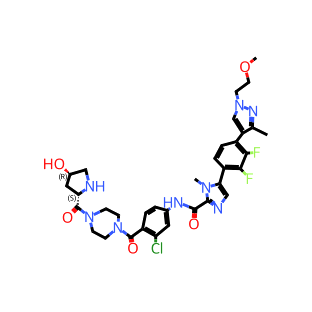 COCCn1cc(-c2ccc(-c3cnc(C(=O)Nc4ccc(C(=O)N5CCN(C(=O)[C@@H]6C[C@@H](O)CN6)CC5)c(Cl)c4)n3C)c(F)c2F)c(C)n1